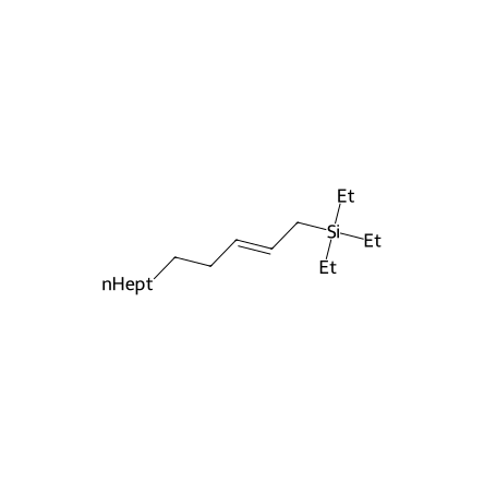 CCCCCCCCC/C=C/C[Si](CC)(CC)CC